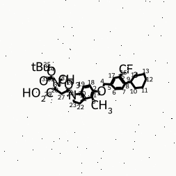 Cc1c(OCc2ccc(C3CCCCC3)c(C(F)(F)F)c2)ccc2c1CCN2C(=O)CC(C(=O)O)N(C)C(=O)OC(C)(C)C